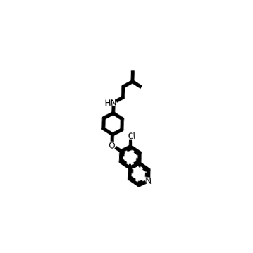 CC(C)CCNC1CCC(Oc2cc3ccncc3cc2Cl)CC1